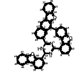 c1ccc(C2=NC(c3cccc4oc5ccc(-c6cccc7c6oc6ccccc67)cc5c34)=NC(c3cccc4c3oc3ccccc34)N2)cc1